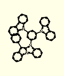 c1ccc(-c2c3ccccc3n3c4ccccc4n(-c4cc(-n5c6ccccc6c6ccccc65)cc(-n5c6ccccc6c6ccccc65)c4)c23)cc1